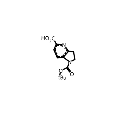 CC(C)(C)OC(=O)N1CCc2nc(C(=O)O)ccc21